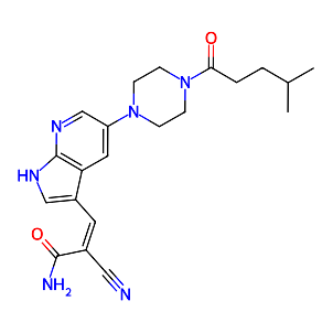 CC(C)CCC(=O)N1CCN(c2cnc3[nH]cc(C=C(C#N)C(N)=O)c3c2)CC1